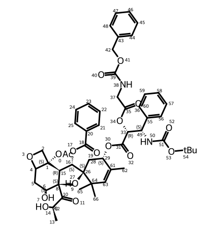 CC(=O)O[C@@]12COC1C[C@H](O)[C@@](C)(C(=O)[C@@H](C)O)[C@@H]2[C@H](OC(=O)c1ccccc1)[C@]1(O)C[C@H](OC(=O)[C@H](OC(=O)CNC(=O)OCc2ccccc2)[C@@H](NC(=O)OC(C)(C)C)c2ccccc2)C(C)=CC1(C)C